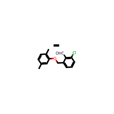 C=C.Cc1ccc(C)c(OCc2cccc(Cl)c2C=O)c1